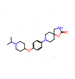 CC(C)N1CCC(Oc2ccc(N3CCC4(CC3)CNC(=O)O4)cc2)CC1